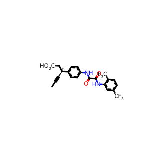 CC#C[C@@H](CC(=O)O)c1ccc(NC(=O)C(=O)Nc2cc(C(F)(F)F)ccc2C(F)(F)F)cc1